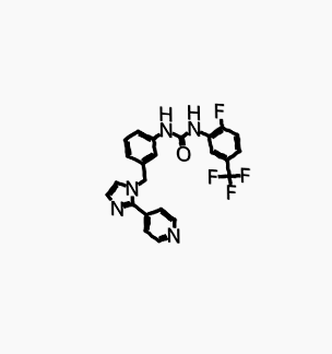 O=C(Nc1cccc(Cn2ccnc2-c2ccncc2)c1)Nc1cc(C(F)(F)F)ccc1F